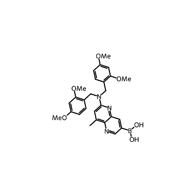 COc1ccc(CN(Cc2ccc(OC)cc2OC)c2cc(C)c3ncc(B(O)O)cc3n2)c(OC)c1